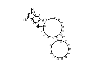 Fc1cc2[nH]cc(Cl)c2cc1NC1CCCCCCCCC(CC2CCCCCCCCCCCCC2)CCCCC1